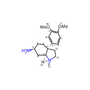 COc1ccc([C@@]23CC[C@H](N)C[C@@H]2N(C)CC3)cc1OC